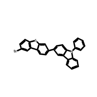 Brc1ccc2sc3cc(-c4ccc5c(c4)c4ccccc4n5-c4ccccc4)ccc3c2c1